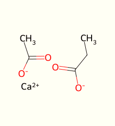 CC(=O)[O-].CCC(=O)[O-].[Ca+2]